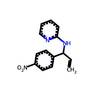 C=CC(Nc1ccccn1)c1ccc([N+](=O)[O-])cc1